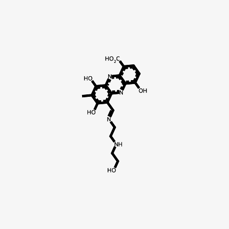 Cc1c(O)c(C=NCCNCCO)c2nc3c(O)ccc(C(=O)O)c3nc2c1O